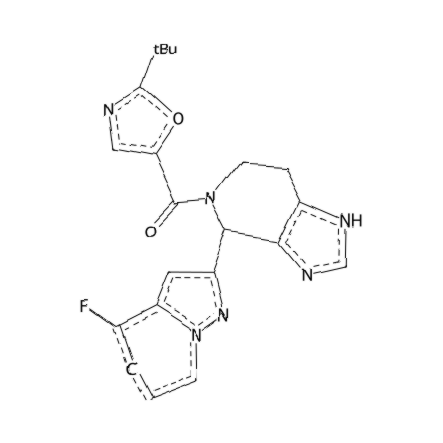 CC(C)(C)c1ncc(C(=O)N2CCc3[nH]cnc3C2c2cc3c(F)cccn3n2)o1